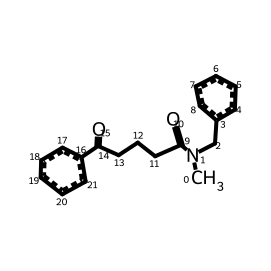 CN(Cc1ccccc1)C(=O)CCCC(=O)c1ccccc1